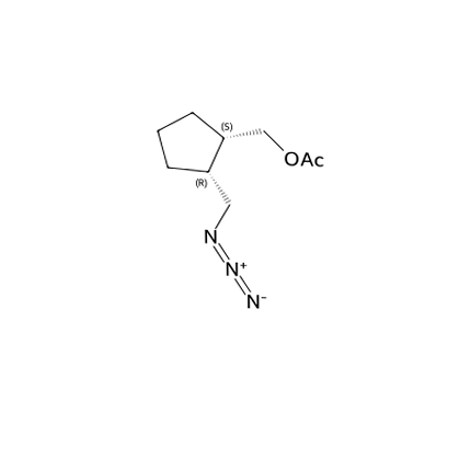 CC(=O)OC[C@H]1CCC[C@H]1CN=[N+]=[N-]